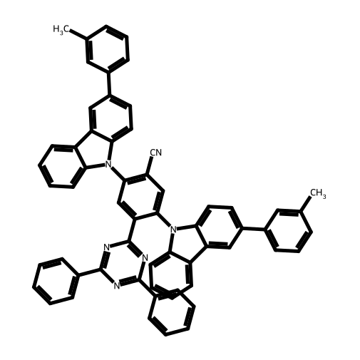 Cc1cccc(-c2ccc3c(c2)c2ccccc2n3-c2cc(-c3nc(-c4ccccc4)nc(-c4ccccc4)n3)c(-n3c4ccccc4c4cc(-c5cccc(C)c5)ccc43)cc2C#N)c1